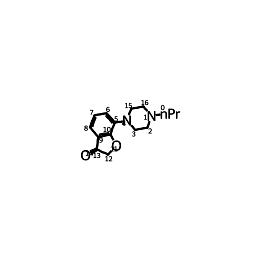 CCCN1CCN(c2cccc3c2OCC3=O)CC1